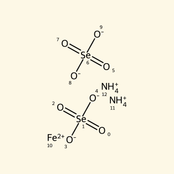 O=[Se](=O)([O-])[O-].O=[Se](=O)([O-])[O-].[Fe+2].[NH4+].[NH4+]